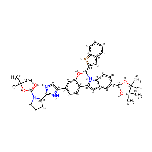 CC(C)(C)OC(=O)N1CCC[C@@H]1c1ncc(-c2ccc3c(c2)OC(c2cc4ccccc4s2)n2c-3cc3cc(B4OC(C)(C)C(C)(C)O4)ccc32)[nH]1